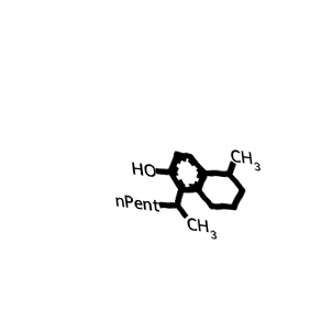 CCCCCC(C)c1c(O)ccc2c1CCCC2C